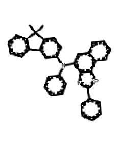 CC1(C)c2ccccc2-c2cc(N(c3ccccc3)c3cc4ccccc4c4oc(-c5ccccc5)nc34)ccc21